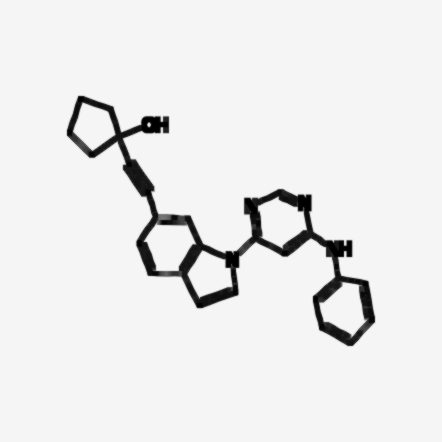 OC1(C#Cc2ccc3ccn(-c4cc(Nc5ccccc5)ncn4)c3c2)CCCC1